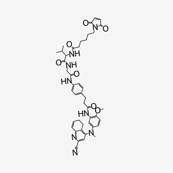 COc1ccc(N(C)c2cc(C#N)nc3c2CCC=C3)cc1NC(=O)CCc1ccc(NC(=O)CNC(=O)C(NC(=O)CCCCCN2C(=O)C=CC2=O)C(C)C)cc1